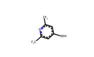 CNc1cc(C(F)(F)F)nc(C(F)(F)F)c1